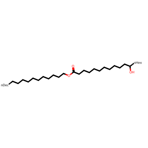 CCCCCCCCCCCCCCCCCCCCCOC(=O)CCCCCCCCCCC(O)CCCCCC